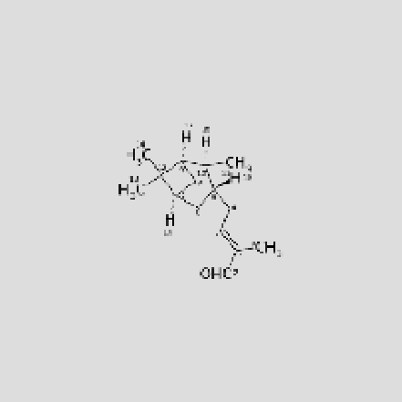 CC(C=O)=CC[C@@H]1C[C@@H]2C[C@H]([C@H]1C)C2(C)C